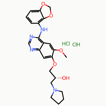 COc1cc2c(Nc3cccc4c3OCO4)ncnc2cc1OC[C@H](O)CN1CCCC1.Cl.Cl